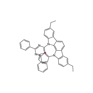 CCc1ccc2c(c1)c1ccc3c4cc(CC)ccc4n(-c4nc(-c5ccccc5)nc(-c5ccccc5)n4)c3c1n2-c1ccccc1